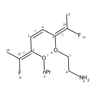 CCCOC(/C=C\C(OCCN)=C(/C)F)=C(/C)F